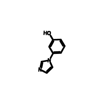 Oc1cccc(-n2ccnc2)c1